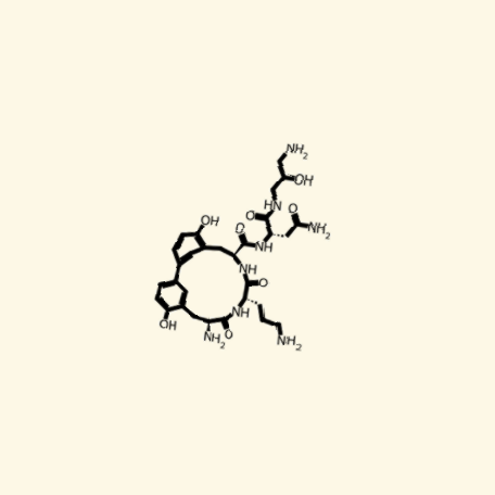 NCCC[C@@H]1NC(=O)[C@@H](N)Cc2cc(ccc2O)-c2ccc(O)c(c2)C[C@@H](C(=O)N[C@@H](CC(N)=O)C(=O)NCC(O)CN)NC1=O